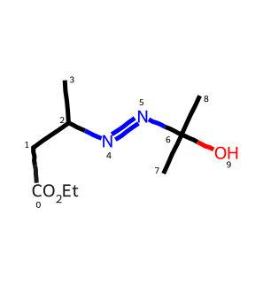 CCOC(=O)CC(C)N=NC(C)(C)O